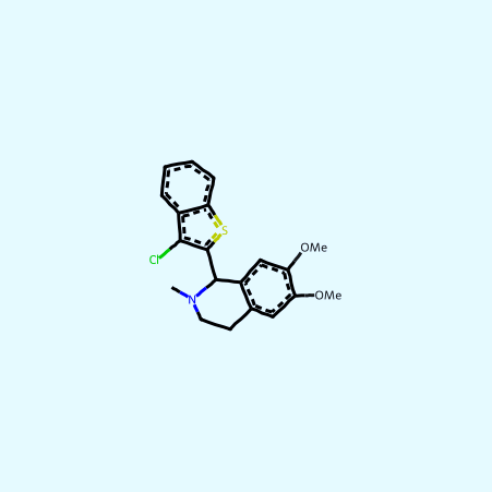 COc1cc2c(cc1OC)C(c1sc3ccccc3c1Cl)N(C)CC2